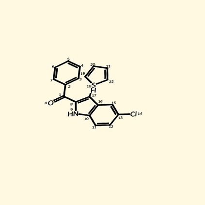 O=C(c1ccccc1)c1[nH]c2ccc(Cl)cc2c1[SH]1C=CC=C1